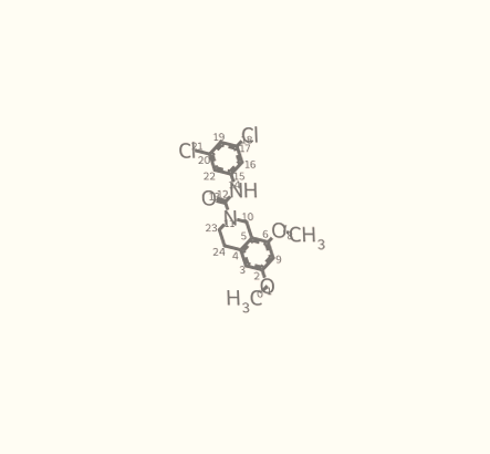 COc1cc2c(c(OC)c1)CN(C(=O)Nc1cc(Cl)cc(Cl)c1)CC2